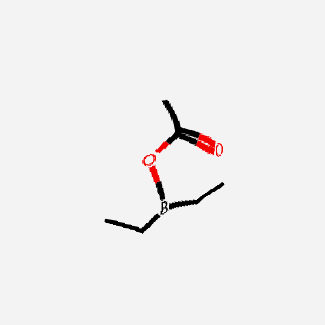 CCB(CC)OC(C)=O